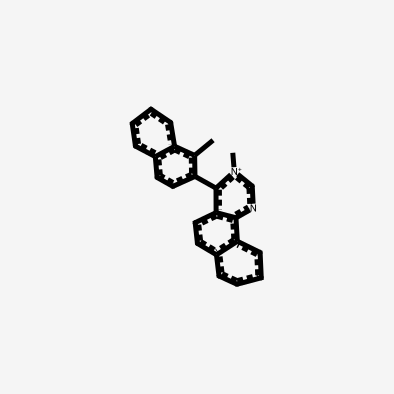 Cc1c(-c2c3ccc4ccccc4c3nc[n+]2C)ccc2ccccc12